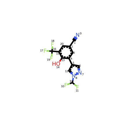 N#Cc1cc(-c2cnn(C(F)F)c2)c(O)c(C(F)(F)F)c1